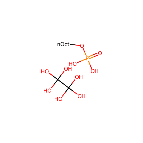 CCCCCCCCOP(=O)(O)O.OC(O)(O)C(O)(O)O